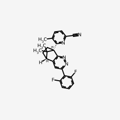 Cc1ccc(C#N)nc1[C@]12CC[C@@H](c3cc(-c4c(F)cccc4F)nnc31)C2(C)C